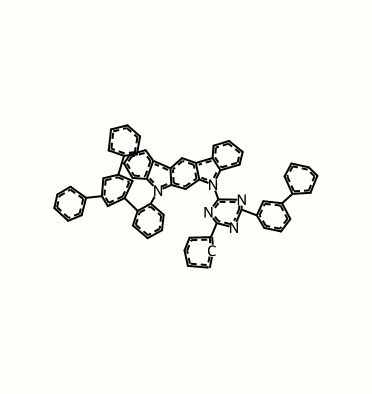 c1ccc(-c2cccc(-c3nc(-c4ccccc4)nc(-n4c5ccccc5c5cc6c7ccccc7n(-c7ccccc7-c7cc(-c8ccccc8)cc(-c8ccccc8)c7)c6cc54)n3)c2)cc1